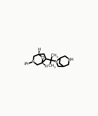 CC(C)N1C[C@@H]2CC(C(C)(C)N3CC4CNCC3C4)[C@H](C1)O2